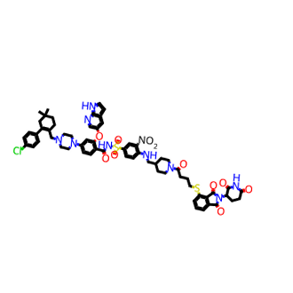 CC1(C)CCC(CN2CCN(c3ccc(C(=O)NS(=O)(=O)c4ccc(NCC5CCN(C(=O)CCCSc6cccc7c6C(=O)N(C6CCC(=O)NC6=O)C7=O)CC5)c([N+](=O)[O-])c4)c(Oc4cnc5[nH]ccc5c4)c3)CC2)=C(c2ccc(Cl)cc2)C1